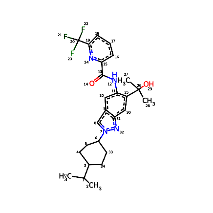 CC(C)C1CCC(n2cc3cc(NC(=O)c4cccc(C(F)(F)F)n4)c(C(C)(C)O)cc3n2)CC1